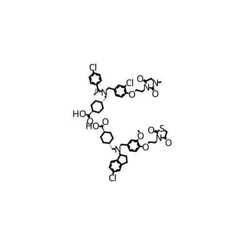 COc1cc(CN(C[C@H]2CC[C@H](C(=O)O)CC2)C2CCc3cc(Cl)ccc32)ccc1OCCN1C(=O)CSC1=O.C[C@@H](c1ccc(Cl)cc1)N(Cc1ccc(OCCN2C(=O)CN(C)C2=O)c(Cl)c1)C[C@H]1CC[C@H](C(=O)O)CC1